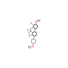 CCOc1ccc2c(c1F)CC(F)(F)c1c-2ccc(C2CCC(OCC)CC2)c1F